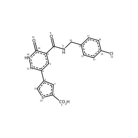 O=C(O)c1cc(-c2cc(C(=O)NCc3ccc(Cl)cc3)c(=O)[nH]n2)cs1